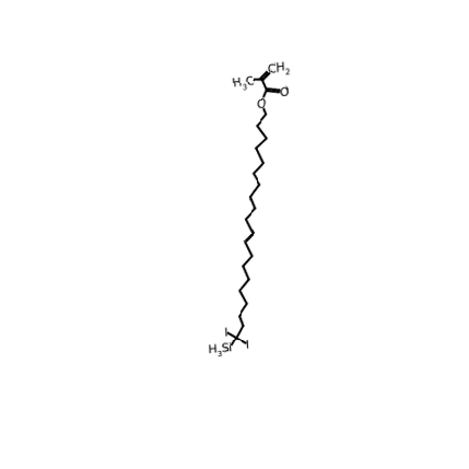 C=C(C)C(=O)OCCCCCCCCCCCCCCCCCCCC([SiH3])(I)I